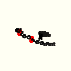 C=CC(=O)OCCc1ccc(C2CCC(OC(=O)/C=C/c3ccc(-c4ccc(CCCCC)cc4)c(CCCC[SiH](OC)OC)c3)CC2)cc1